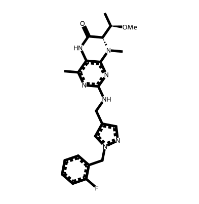 CO[C@H](C)[C@H]1C(=O)Nc2c(C)nc(NCc3cnn(Cc4ccccc4F)c3)nc2N1C